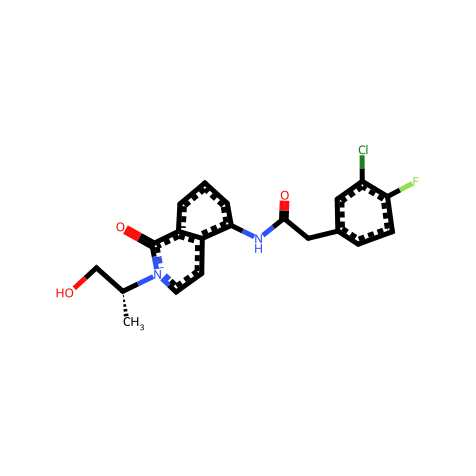 C[C@H](CO)n1ccc2c(NC(=O)Cc3ccc(F)c(Cl)c3)cccc2c1=O